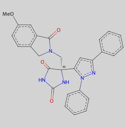 COc1ccc2c(c1)C(=O)N(C[C@]1(c3cc(-c4ccccc4)nn3-c3ccccc3)NC(=O)NC1=O)C2